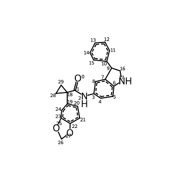 O=C(Nc1ccc2c(c1)C(c1ccccc1)CN2)C1(c2ccc3c(c2)OCO3)CC1